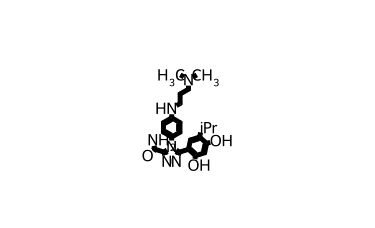 CC(C)c1cc(-c2nnc(C(N)=O)n2-c2ccc(NCCCN(C)C)cc2)c(O)cc1O